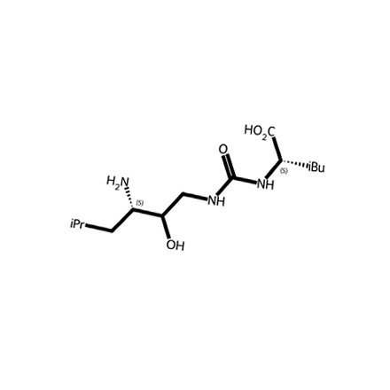 CCC(C)[C@H](NC(=O)NCC(O)[C@@H](N)CC(C)C)C(=O)O